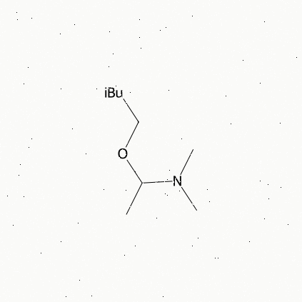 CCC(C)COC(C)N(C)C